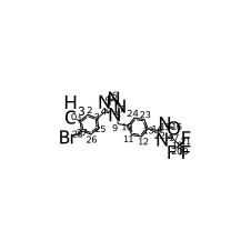 Cc1cc(-c2nnnn2Cc2ccc(-c3noc(C(F)(F)F)n3)cc2)ccc1Br